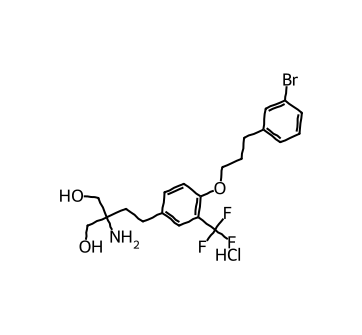 Cl.NC(CO)(CO)CCc1ccc(OCCCc2cccc(Br)c2)c(C(F)(F)F)c1